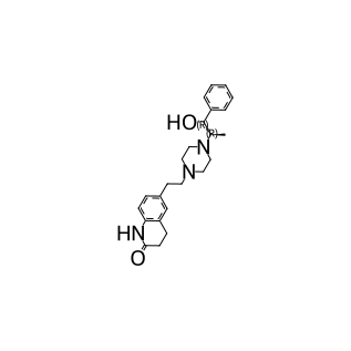 C[C@H]([C@H](O)c1ccccc1)N1CCN(CCc2ccc3c(c2)CCC(=O)N3)CC1